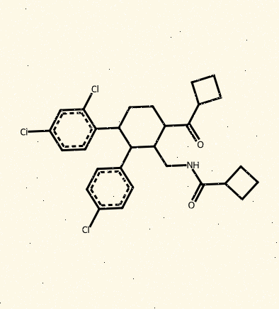 O=C(NCC1C(C(=O)C2CCC2)CCC(c2ccc(Cl)cc2Cl)C1c1ccc(Cl)cc1)C1CCC1